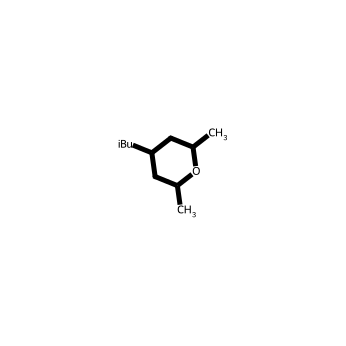 CCC(C)C1CC(C)OC(C)C1